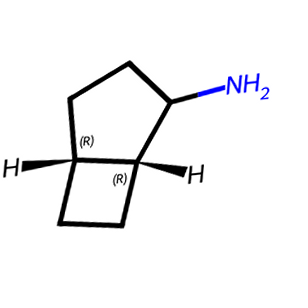 NC1CC[C@H]2CC[C@@H]12